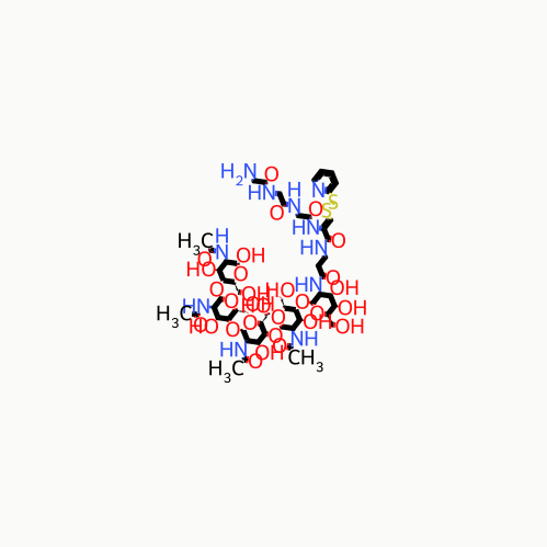 CC(=O)N[C@H]1[C@H](OC2[C@@H](CO)O[C@@H](OC3[C@@H](CO)O[C@@H](OC4[C@@H](CO)OC(O)[C@H](NC(C)=O)[C@H]4O)[C@H](NC(C)=O)[C@H]3O)[C@H](NC(C)=O)[C@H]2O)O[C@H](CO)C(O[C@@H]2O[C@H](CO)[C@@H](O)[C@H](O)[C@H]2NC(=O)CCNC(=O)C(=CSSc2ccccn2)NC(=O)CNC(=O)CNC(=O)CN)[C@@H]1O